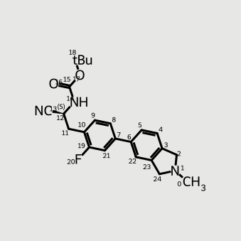 CN1Cc2ccc(-c3ccc(C[C@@H](C#N)NC(=O)OC(C)(C)C)c(F)c3)cc2C1